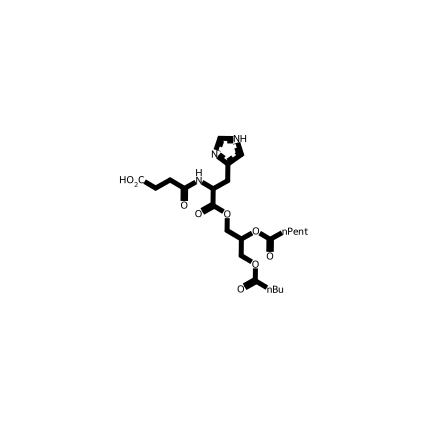 CCCCCC(=O)OC(COC(=O)CCCC)COC(=O)C(Cc1c[nH]cn1)NC(=O)CCC(=O)O